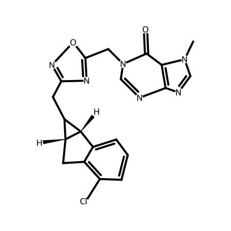 Cn1cnc2ncn(Cc3nc(CC4[C@H]5Cc6c(Cl)cccc6[C@@H]45)no3)c(=O)c21